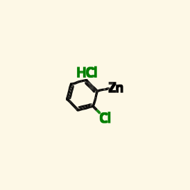 Cl.Clc1cccc[c]1[Zn]